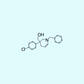 OCC1(c2ccc(Cl)cc2)CC=CN(Cc2ccccc2)C1